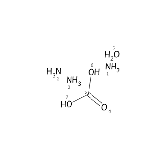 N.N.N.O.O=C(O)O